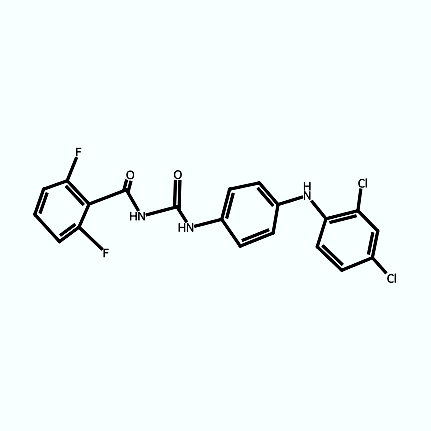 O=C(NC(=O)c1c(F)cccc1F)Nc1ccc(Nc2ccc(Cl)cc2Cl)cc1